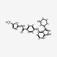 Cc1cnc(NC(=O)c2ccc(Oc3ccnc4[nH]nc(C5CCCNC5)c34)cc2)s1